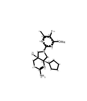 COc1nc(N2C[C@H]3CSC(N)=N[C@@]3(C3CCCC3)C2)nc(C)c1F